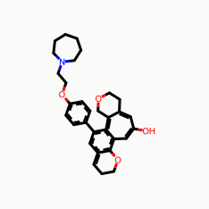 OC1=Cc2c3c(cc(-c4ccc(OCCN5CCCCCC5)cc4)c2=C2COCCC2=C1)=CCCO3